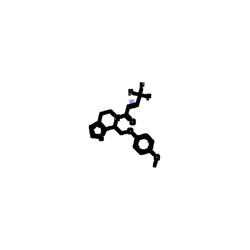 COc1ccc(OCC2c3sccc3CCN2C(=O)/C=C/C(F)(F)F)cc1